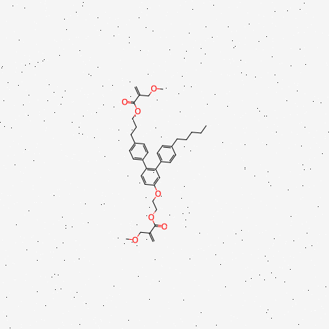 C=C(COC)C(=O)OCCCc1ccc(-c2ccc(OCCOC(=O)C(=C)COC)cc2-c2ccc(CCCCC)cc2)cc1